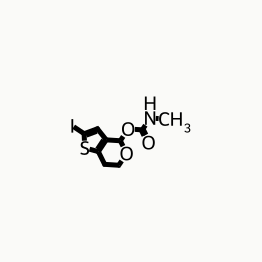 CNC(=O)OC1OCCc2sc(I)cc21